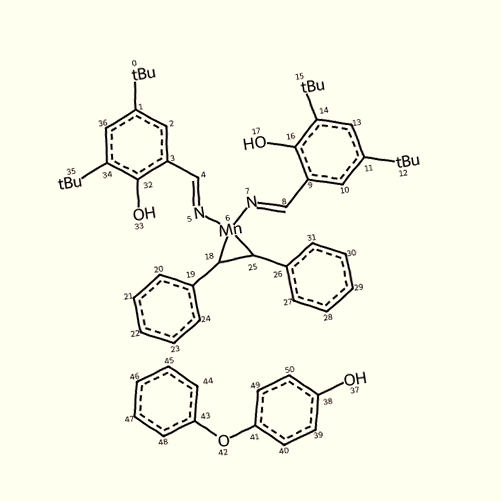 CC(C)(C)c1cc(C=[N][Mn]2([N]=Cc3cc(C(C)(C)C)cc(C(C)(C)C)c3O)[CH](c3ccccc3)[CH]2c2ccccc2)c(O)c(C(C)(C)C)c1.Oc1ccc(Oc2ccccc2)cc1